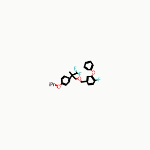 CC(C)Oc1ccc(C(C)(COCc2ccc(F)c(Oc3ccccc3)c2)C(F)F)cc1